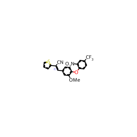 COc1cc(/C=C(\C#N)c2cccs2)ccc1Oc1ccc(C(F)(F)F)cc1[N+](=O)[O-]